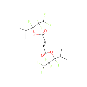 CC(C)C(F)(OC(=O)/C=C/C(=O)OC(F)(C(C)C)C(F)(F)C(F)F)C(F)(F)C(F)F